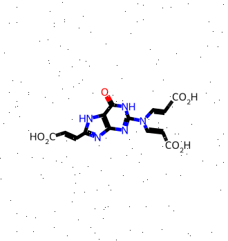 O=C(O)C=Cc1nc2nc(N(C=CC(=O)O)C=CC(=O)O)[nH]c(=O)c2[nH]1